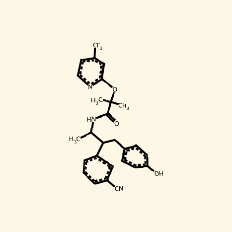 CC(NC(=O)C(C)(C)Oc1cc(C(F)(F)F)ccn1)C(Cc1ccc(O)cc1)c1cccc(C#N)c1